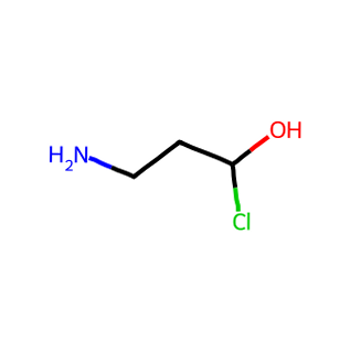 NCCC(O)Cl